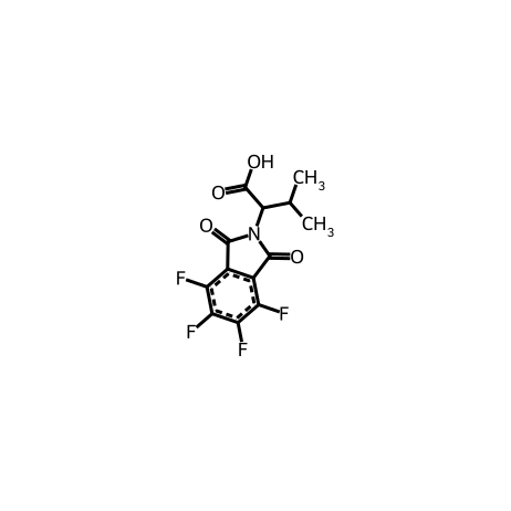 CC(C)C(C(=O)O)N1C(=O)c2c(F)c(F)c(F)c(F)c2C1=O